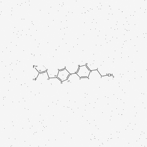 CCCc1ccc(-c2ccc(CC=C(F)F)cc2)cc1